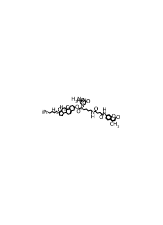 Cc1cc(=O)oc2cc(NC(=O)CCC(=O)NCCCC[C@@H](C(=O)O[C@H]3CC[C@@]4(C)C(=CCC5C4CC[C@@]4(C)C5CC[C@@H]4CCCCC(C)C)C3)N(CC(N)=O)CC(N)=O)ccc12